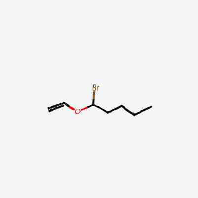 C=COC(Br)CCCC